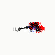 CCCCCCCCCCCCNCC(O)C1OC(OC(CO)C(O)C2OC(OC(CO)C(O)C3OC(O)(C(=O)O)CC(O)C3N)(C(=O)O)CC(O)[C@H]2N)(C(=O)O)CC(O)C1NC(=O)CC